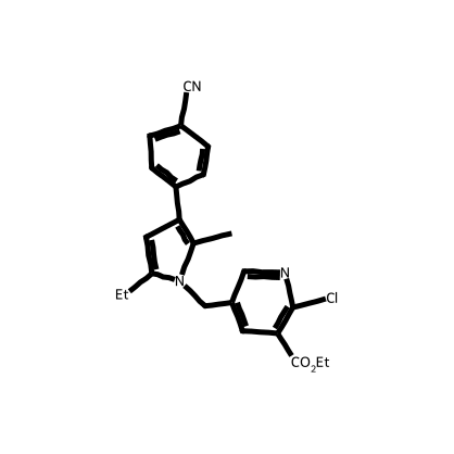 CCOC(=O)c1cc(Cn2c(CC)cc(-c3ccc(C#N)cc3)c2C)cnc1Cl